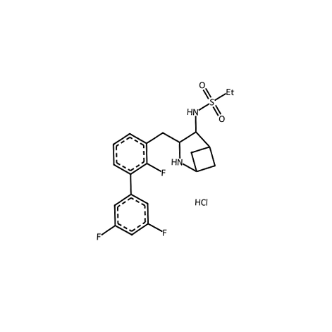 CCS(=O)(=O)NC1C2CC(C2)NC1Cc1cccc(-c2cc(F)cc(F)c2)c1F.Cl